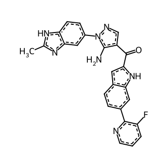 Cc1nc2cc(-n3ncc(C(=O)c4cc5ccc(-c6ncccc6F)cc5[nH]4)c3N)ccc2[nH]1